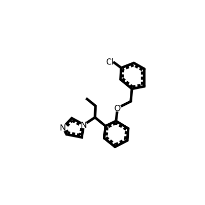 CCC(c1ccccc1OCc1cccc(Cl)c1)n1ccnc1